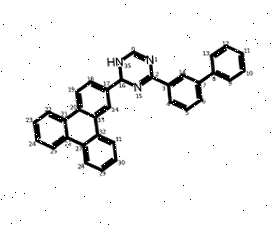 C1=NC(c2cccc(-c3ccccc3)c2)=NC(c2ccc3c4ccccc4c4ccccc4c3c2)N1